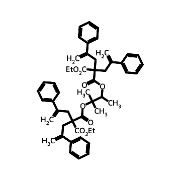 C=C(CC(CC(=C)c1ccccc1)(C(=O)OCC)C(=O)OC(C)C(C)(C)OC(=O)C(CC(=C)c1ccccc1)(CC(=C)c1ccccc1)C(=O)OCC)c1ccccc1